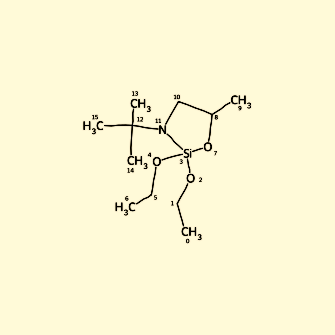 CCO[Si]1(OCC)OC(C)CN1C(C)(C)C